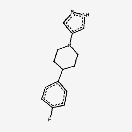 Fc1ccc(C2CCN(c3cn[nH]c3)CC2)cc1